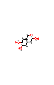 OCC=CCO.OCCCCCO